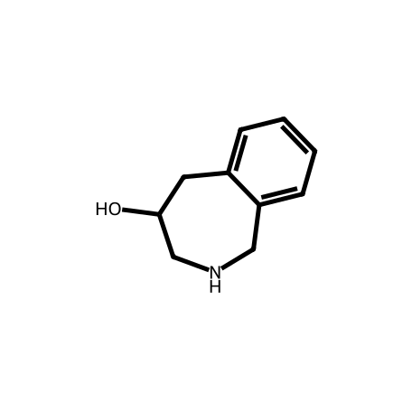 OC1CNCc2ccccc2C1